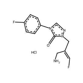 Cl.NC/C(=C\F)Cn1ncn(-c2ccc(F)cc2)c1=O